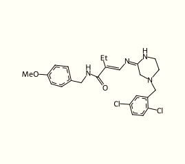 CC/C(=C\N=C1/CN(Cc2cc(Cl)ccc2Cl)CCN1)C(=O)NCc1ccc(OC)cc1